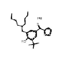 CCCCN(CCCC)Cc1cc(C(=O)c2cccs2)cc(C(C)(C)C)c1O.Cl